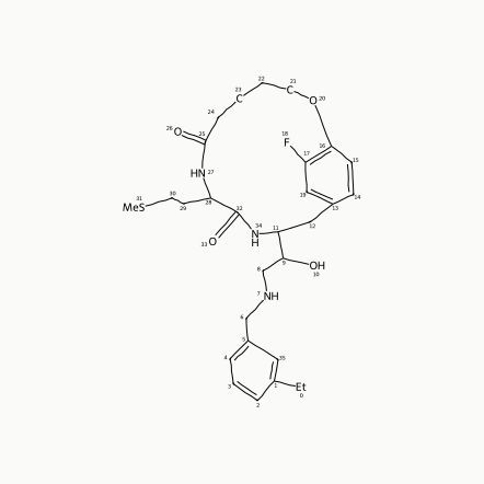 CCc1cccc(CNCC(O)C2Cc3ccc(c(F)c3)OCCCCC(=O)NC(CCSC)C(=O)N2)c1